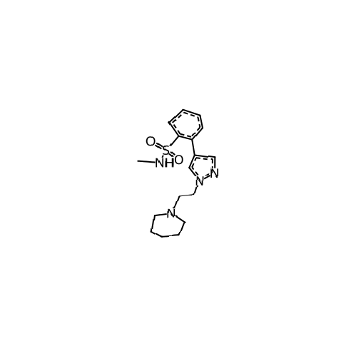 CNS(=O)(=O)c1ccccc1-c1cnn(CCN2CCCCC2)c1